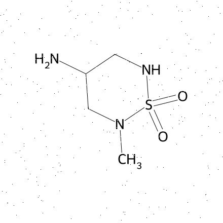 CN1CC(N)CNS1(=O)=O